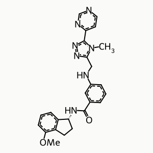 COc1cccc2c1CC[C@H]2NC(=O)c1cccc(NCc2nnc(-c3ccncn3)n2C)c1